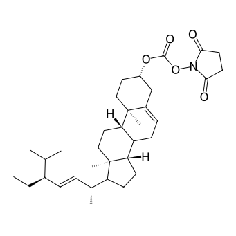 CC[C@H](/C=C/[C@@H](C)C1CC[C@H]2C3CC=C4C[C@@H](OC(=O)ON5C(=O)CCC5=O)CC[C@]4(C)[C@H]3CC[C@]12C)C(C)C